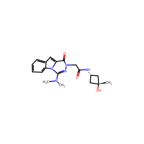 CN(C)c1nn(CC(=O)N[C@H]2C[C@@](C)(O)C2)c(=O)c2cc3ccccc3n12